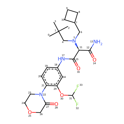 CC(C)(C)CN(CC1CCC1)[C@@H](C(N)=O)C(=O)Nc1ccc(N2CCOCC2=O)c(OC(F)F)c1